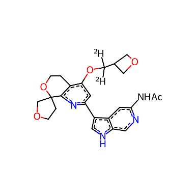 [2H]C([2H])(Oc1cc(-c2c[nH]c3cnc(NC(C)=O)cc23)nc2c1CCOC21CCOC1)C1COC1